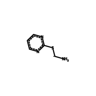 N[CH]Sc1ncccn1